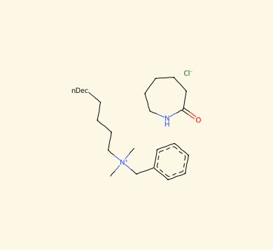 CCCCCCCCCCCCCC[N+](C)(C)Cc1ccccc1.O=C1CCCCCN1.[Cl-]